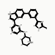 Cc1nc(-c2cccc(-c3ccc4[nH]cc(-c5cncc(OC6CCCNC6)n5)c4c3)c2)cs1